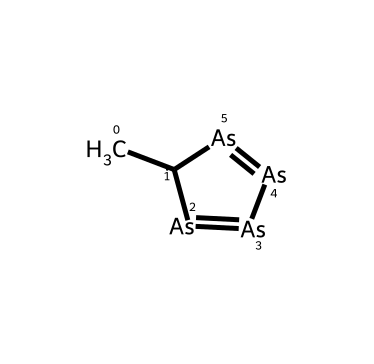 C[C]1[As]=[As][As]=[As]1